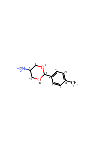 NC1COC(c2ccc(C(F)(F)F)cc2)OC1